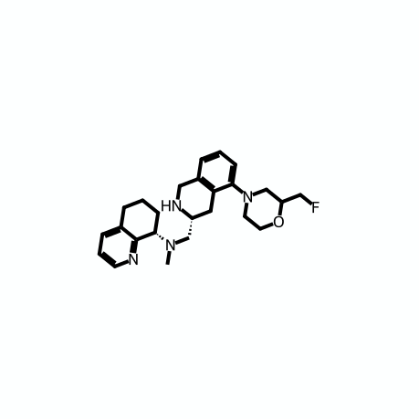 CN(C[C@H]1Cc2c(cccc2N2CCOC(CF)C2)CN1)[C@H]1CCCc2cccnc21